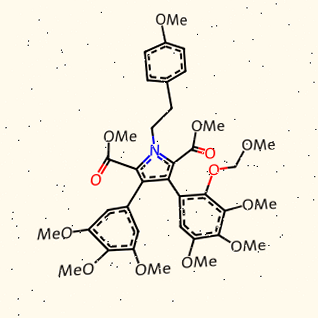 COCOc1c(-c2c(-c3cc(OC)c(OC)c(OC)c3)c(C(=O)OC)n(CCc3ccc(OC)cc3)c2C(=O)OC)cc(OC)c(OC)c1OC